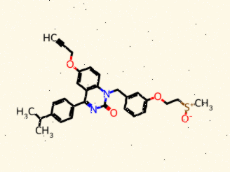 C#CCOc1ccc2c(c1)c(-c1ccc(C(C)C)cc1)nc(=O)n2Cc1cccc(OCC[S+](C)[O-])c1